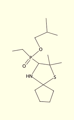 CCP(=O)(OCC(C)C)C1NC2(CCCC2)SC1(C)C